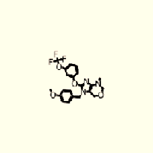 COc1ccc(Cn2c(Oc3cccc(OC(F)(F)F)c3)nc3c2COCN3C)cc1